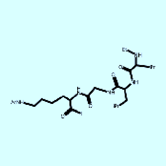 CCNC(C(=O)NC(CC(C)C)C(=O)NCC(=O)NC(CCCCNC(C)=O)C(=O)I)C(C)C